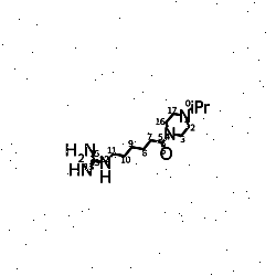 CC(C)N1CCN(C(=O)CCCCCNC(=N)N)CC1